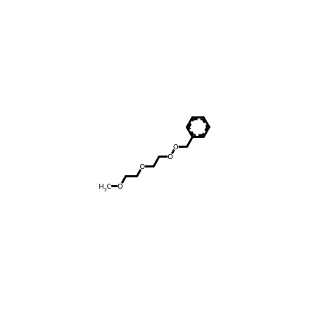 COCCOCCOOCc1ccccc1